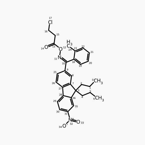 CCCC1(CCC)c2cc(/C(=N/OC(=O)CCCl)c3ccccc3C)ccc2-c2ccc([N+](=O)[O-])cc21